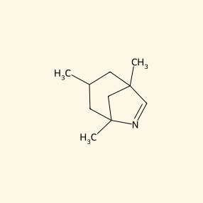 CC1CC2(C)C=NC(C)(C1)C2